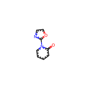 O=c1ccccn1-c1ncco1